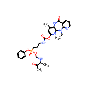 CCN1c2ncccc2C(=O)Nc2c(C)cc(OC(=O)NCCCP(=O)(OCN[C@@H](C)C(C)=O)Oc3ccccc3)nc21